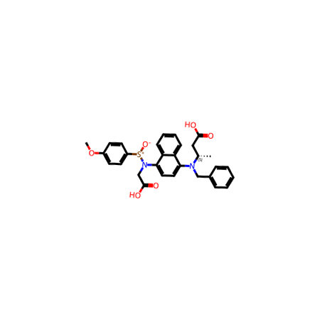 COc1ccc([S+]([O-])N(CC(=O)O)c2ccc(N(Cc3ccccc3)[C@@H](C)CC(=O)O)c3ccccc23)cc1